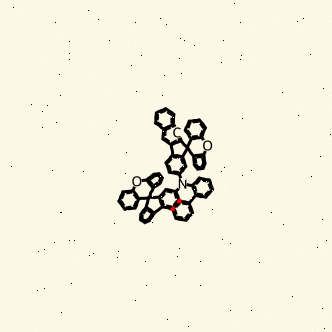 c1ccc(-c2ccccc2N(c2ccc3c(c2)C2(c4ccccc4Oc4ccccc42)c2ccccc2-3)c2ccc3c(c2)C2(c4ccccc4Oc4ccccc42)c2cc4ccccc4cc2-3)cc1